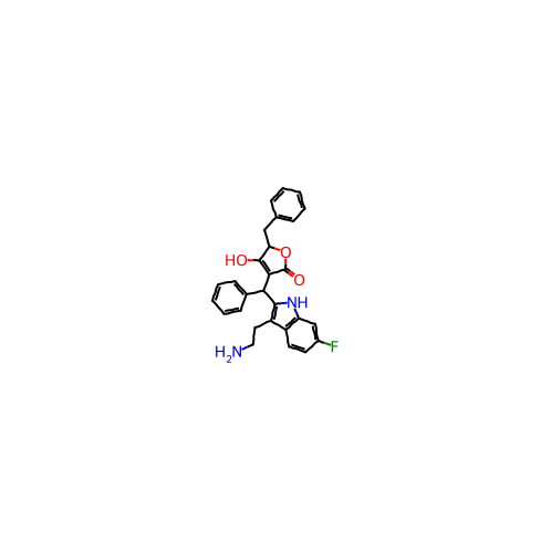 NCCc1c(C(C2=C(O)C(Cc3ccccc3)OC2=O)c2ccccc2)[nH]c2cc(F)ccc12